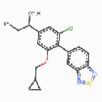 CC(C)CC(C(=O)O)c1cc(Cl)c(-c2ccc3nsnc3c2)c(OCC2CC2)c1